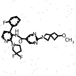 COC1CC2(C1)CN(c1ncc(C(=O)Nc3c(-c4ccccc4F)ccnc3N3CCC(F)(F)C3)cn1)C2